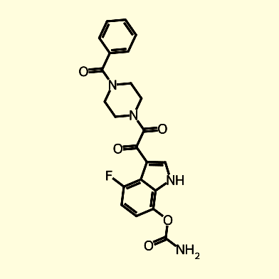 NC(=O)Oc1ccc(F)c2c(C(=O)C(=O)N3CCN(C(=O)c4ccccc4)CC3)c[nH]c12